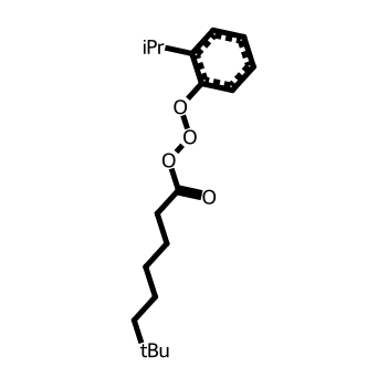 CC(C)c1ccccc1OOOC(=O)CCCCCC(C)(C)C